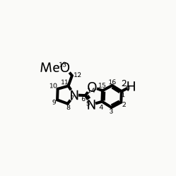 [2H]c1ccc2nc(N3CCCC3COC)oc2c1